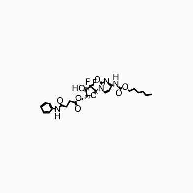 CCCCCCOC(=O)Nc1ccn([C@@H]2O[C@H](COC(=O)CCC(=O)Nc3ccccc3)[C@@H](O)C2(F)F)c(=O)n1